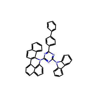 c1ccc(-c2ccc(-c3nc(N4c5c(ccc6ccccc56)-c5cccc6cccc4c56)nc(-n4c5ccccc5c5ccccc54)n3)cc2)cc1